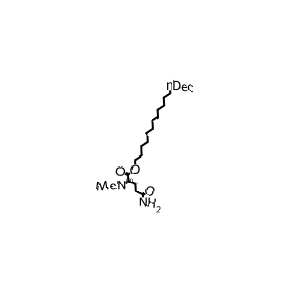 CCCCCCCCCCCCCCCCCCCCCCOC(=O)[C@@H](CCC(N)=O)NC